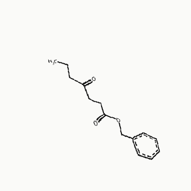 CCCC(=O)CCC(=O)OCc1ccccc1